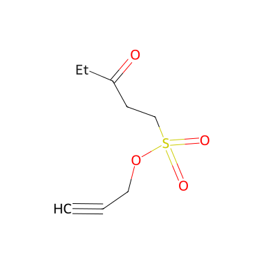 C#CCOS(=O)(=O)CCC(=O)CC